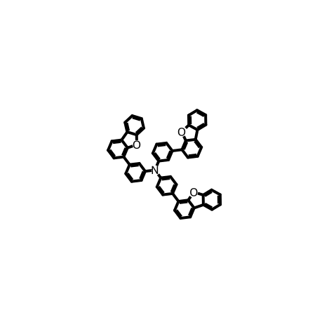 c1cc(-c2cccc3c2oc2ccccc23)cc(N(c2ccc(-c3cccc4c3oc3ccccc34)cc2)c2cccc(-c3cccc4c3oc3ccccc34)c2)c1